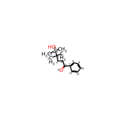 CC(C)(CCC(=O)c1ccccc1)[Si](C)(C)O